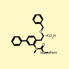 CCCCCNC(=O)N(C)c1cc(-c2ccccc2)ccc1C[C@H](OCc1ccccc1)C(=O)O